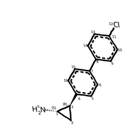 N[C@H]1C[C@@H]1c1ccc(-c2ccc(Cl)cc2)cc1